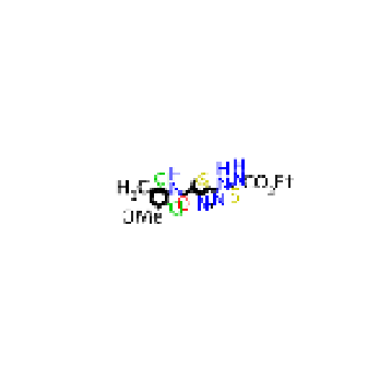 CCOC(=O)NC(=S)Nc1ncnc2c(C(=O)Nc3c(Cl)c(C)cc(OC)c3Cl)csc12